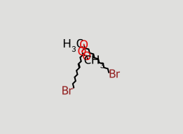 COC(CCC=CCCCCCCBr)OC(CCC=CCCCCCCBr)OC